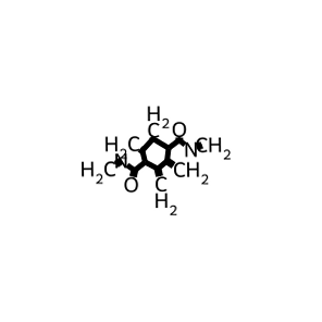 C=NC(=O)C1C(=C)C(=C)C(C(=O)N=C)C(=C)C1=C